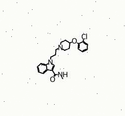 CNC(=O)c1cn(CCCN2CCC(Oc3ccccc3Cl)CC2)c2ccccc12